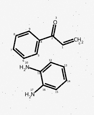 C=CC(=O)c1ccccc1.Nc1ccccc1N